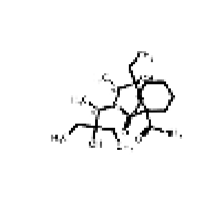 CCC(O)(CC)[C@@H](C)N(C(=O)C1(C(N)=O)CCCCC1)[C@H](C)C(O)(CC)CC